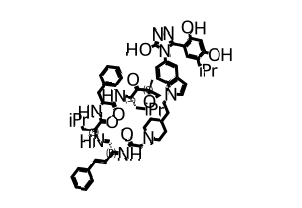 CC(C)C[C@H](NC[C@@H](CCc1ccccc1)NC(=O)CN1CCC(CCn2ccc3cc(-n4c(O)nnc4-c4cc(C(C)C)c(O)cc4O)ccc32)CC1)C(=O)NC(Cc1ccccc1)C(=O)N[C@@H](CC(C)C)C(=O)[C@]1(C)CO1